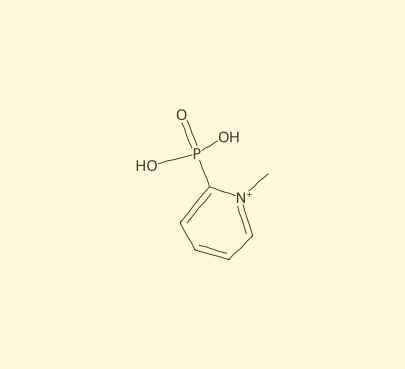 C[n+]1ccccc1P(=O)(O)O